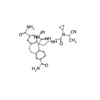 CC(C)NC(=N)C1(CCNCC(=O)N(C(C)C#N)C2CC2)c2ccc(C(N)=O)cc2CCc2cc(C(N)=O)ccc21